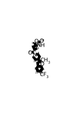 CC1(C2CCN(C(=O)[C@H]3C[C@@]4(COC(=O)N4)C3)CC2)Cc2ccc(C(F)(F)F)cc2O1